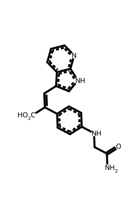 NC(=O)CNc1ccc(C(=Cc2c[nH]c3ncccc23)C(=O)O)cc1